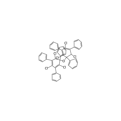 ClC1=C(c2ccccc2)C(Cl)C(OC2(c3ccccc3)C(Cl)=C(c3ccccc3)C(Cl)=C(c3ccccc3)C2Cl)(c2ccccc2)C(Cl)=C1c1ccccc1